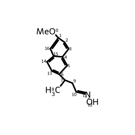 COc1ccc2cc(C(C)CC=NO)ccc2c1